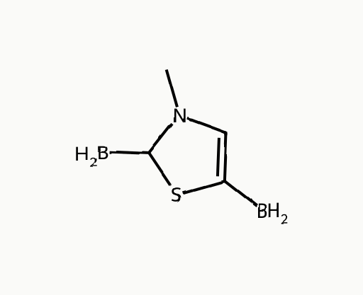 BC1=CN(C)C(B)S1